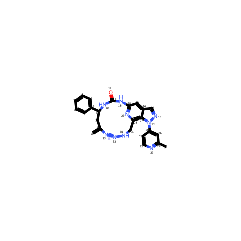 C=C1CC(c2ccccc2)NC(=O)Nc2cc3cnn(-c4ccnc(C)c4)c3c(n2)CN/N=N\1